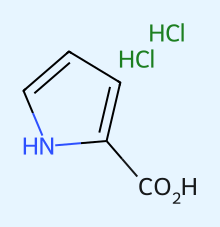 Cl.Cl.O=C(O)c1ccc[nH]1